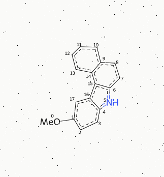 COc1ccc2[nH]c3ccc4ccccc4c3c2c1